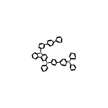 c1ccc(-c2ccc(-c3cccc(-n4c5ccccc5c5cc(N(c6ccccc6)c6ccc(-c7ccc(N(c8ccccc8)c8ccccc8)cc7)cc6)ccc54)c3)cc2)cc1